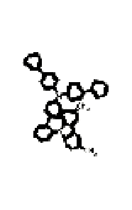 Cc1ccc2c(c1)c1cc(C)ccc1n2-c1ccccc1-c1ccc(N(c2ccc(-c3ccccc3)cc2)c2ccc(-c3ccccc3)cc2)cc1